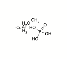 O.O.O=P(O)(O)O.[AlH3].[Cu]